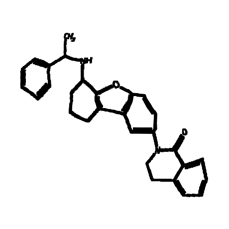 CC(NC1CCCc2c1oc1ccc(N3CCc4ccccc4C3=O)cc21)c1ccccc1